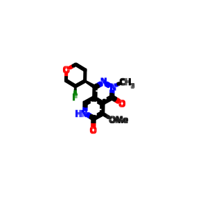 COc1c(=O)[nH]cc2c([C@@H]3CCOC[C@@H]3F)nn(C)c(=O)c12